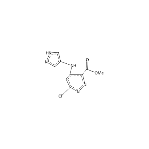 COC(=O)c1nnc(Cl)cc1Nc1cn[nH]c1